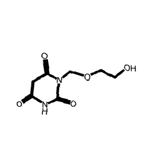 O=C1CC(=O)N(COCCO)C(=O)N1